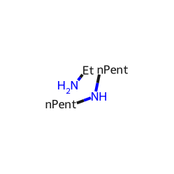 CCCCCNCCCCC.CCN